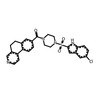 O=C(c1ccc2c(c1)CCc1cnccc1-2)N1CCN(S(=O)(=O)c2cc3cc(Cl)ccc3[nH]2)CC1